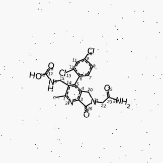 Cc1nc2c(c(-c3ccc(Cl)cc3Cl)c1CNC(=O)O)CN(CC(N)=O)C2=O